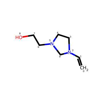 C=CN1CCN(CCO)C1